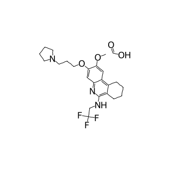 COc1cc2c3c(c(NCC(F)(F)F)nc2cc1OCCCN1CCCC1)CCCC3.O=CO